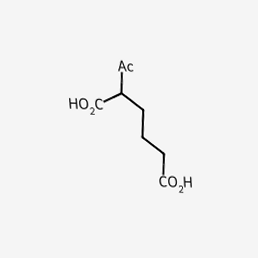 CC(=O)C(CCCC(=O)O)C(=O)O